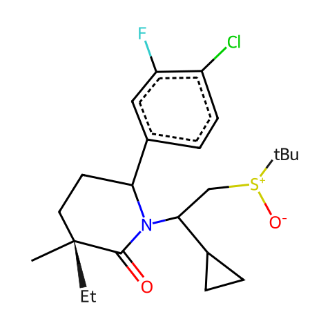 CC[C@@]1(C)CCC(c2ccc(Cl)c(F)c2)N(C(C[S+]([O-])C(C)(C)C)C2CC2)C1=O